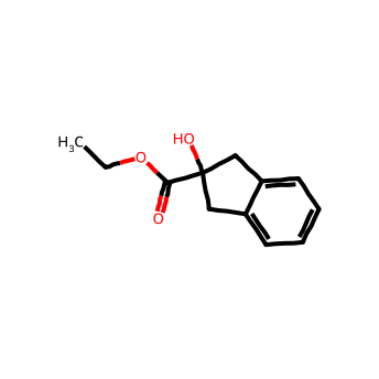 CCOC(=O)C1(O)Cc2ccccc2C1